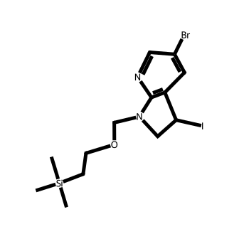 C[Si](C)(C)CCOCN1CC(I)c2cc(Br)cnc21